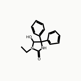 CCN1C(=O)NC(c2ccccc2)(c2ccccc2)C1O